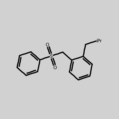 CC(C)Cc1ccccc1CS(=O)(=O)c1ccccc1